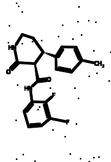 Cc1ccc([C@H]2CCNC(=O)[C@@H]2C(=O)Nc2cccc(F)c2F)cc1